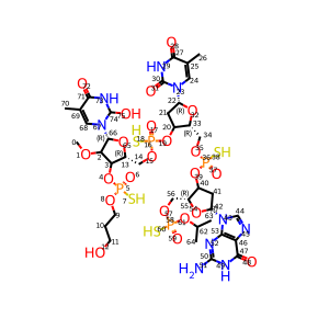 COC1C(OP(=O)(S)OCCCO)[C@@H](COP(=O)(S)OC2C[C@H](n3cc(C)c(=O)[nH]c3=O)O[C@@H]2COP(=O)(S)OC2C[C@H](n3cnc4c(=O)[nH]c(N)nc43)O[C@@H]2COP(=O)(S)OC(C)C)O[C@H]1N1C=C(C)C(=O)NC1O